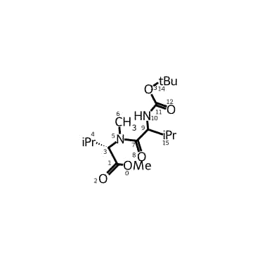 COC(=O)[C@H](C(C)C)N(C)C(=O)C(NC(=O)OC(C)(C)C)C(C)C